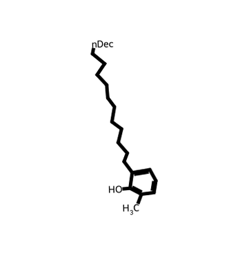 CCCCCCCCCCCCCCCCCCCCCc1cccc(C)c1O